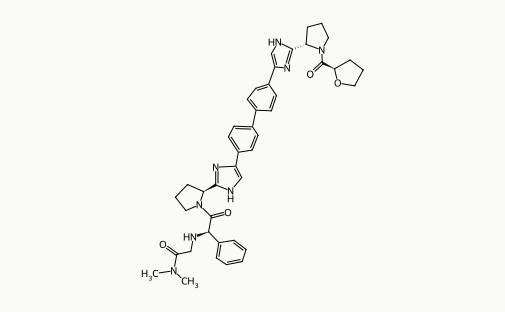 CN(C)C(=O)CN[C@@H](C(=O)N1CCC[C@H]1c1nc(-c2ccc(-c3ccc(-c4c[nH]c([C@@H]5CCCN5C(=O)[C@H]5CCCO5)n4)cc3)cc2)c[nH]1)c1ccccc1